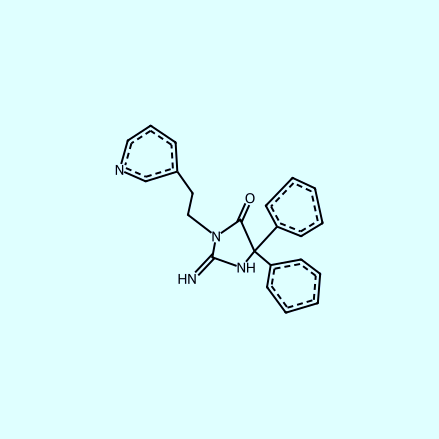 N=C1NC(c2ccccc2)(c2ccccc2)C(=O)N1CCc1cccnc1